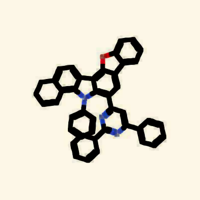 C1=CCC(c2nc(-c3ccccc3)cc(-c3cc4c5ccccc5oc4c4c5ccc6c(c5n(-c5ccccc5)c34)C=CCC6)n2)C=C1